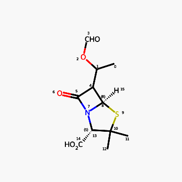 CC(OC=O)C1C(=O)N2[C@@H]1SC(C)(C)[C@@H]2C(=O)O